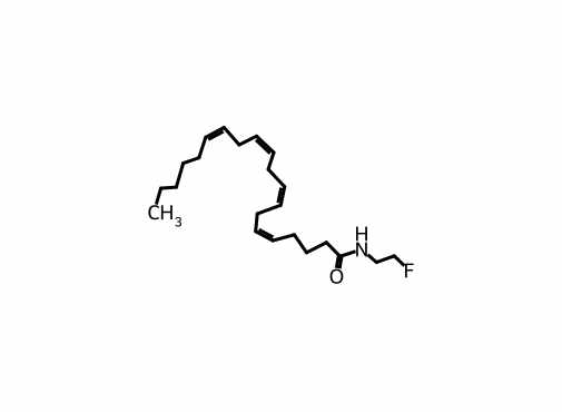 CCCCC/C=C\C/C=C\C/C=C\C/C=C\CCCC(=O)NCCF